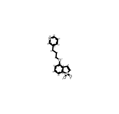 O=S1(=O)C=Cc2c(OCCCc3cccnc3)cccc21